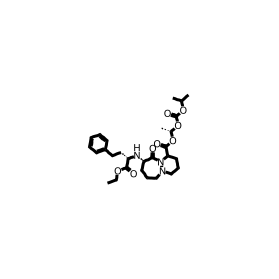 CCOC(=O)[C@H](CCc1ccccc1)N[C@H]1CCCN2CCCC(C(=O)O[C@H](C)OC(=O)OC(C)C)N2C1=O